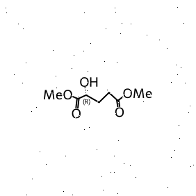 COC(=O)CC[C@@H](O)C(=O)OC